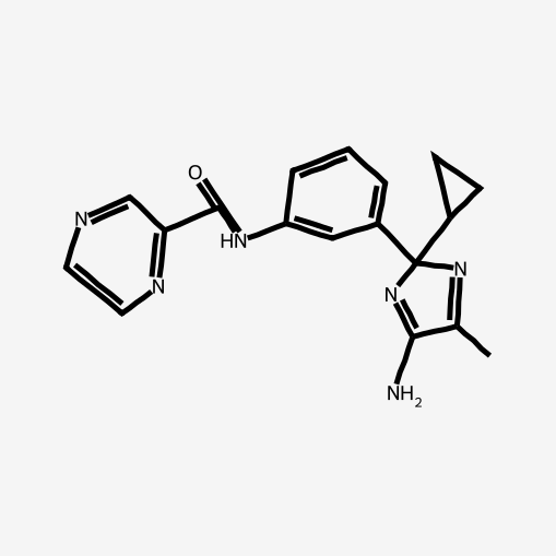 CC1=NC(c2cccc(NC(=O)c3cnccn3)c2)(C2CC2)N=C1N